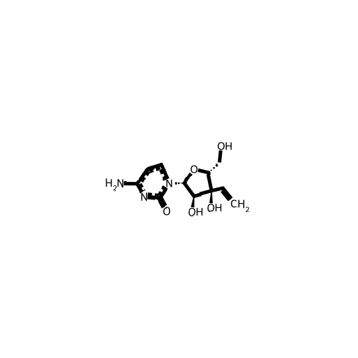 C=C[C@@]1(O)[C@@H](CO)O[C@@H](n2ccc(N)nc2=O)[C@@H]1O